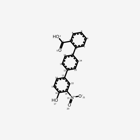 O=C(O)c1ccccc1-c1ccc(-c2ccc(O)c([N+](=O)[O-])c2)cc1